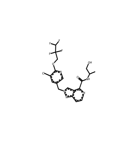 CC(CO)NC(=O)c1nccc2nn(Cc3cnc(OCC(F)(F)C(F)F)c(Cl)c3)cc12